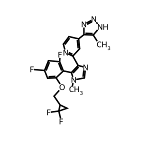 Cc1[nH]nnc1-c1ccnc(-c2ncn(C)c2-c2c(F)cc(F)cc2OCC2CC2(F)F)c1